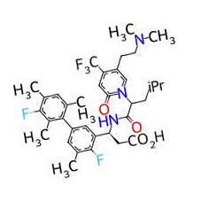 Cc1cc(-c2c(C)cc(C)c(F)c2C)cc([C@H](CC(=O)O)NC(=O)C(CC(C)C)n2cc(CCN(C)C)c(C(F)(F)F)cc2=O)c1F